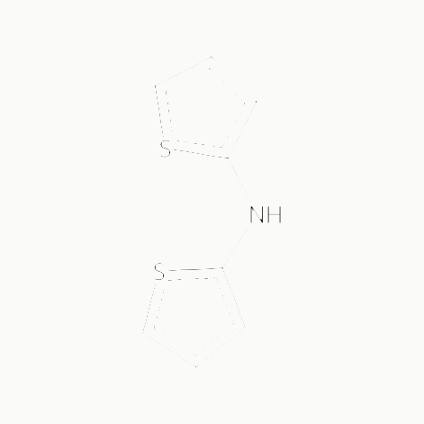 c1csc(Nc2cccs2)c1